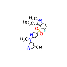 Cc1cncc(N(C)c2ccc(S(=O)(=O)c3c(F)ccc4c3=C(CC(=O)O)C(C)N=4)cn2)c1